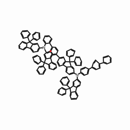 c1ccc(-c2ccc(-c3ccc(N(c4ccc5c(c4)C(c4ccccc4)(c4ccccc4)c4ccccc4-5)c4ccc5c(c4)C(c4ccccc4)(c4ccccc4)c4cc(-c6ccc(-c7ccccc7N(c7ccc8c(c7)C(c7ccccc7)(c7ccccc7)c7ccccc7-8)c7ccc8c(c7)C(c7ccccc7)(c7ccccc7)c7ccccc7-8)cc6)ccc4-5)cc3)cc2)cc1